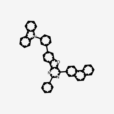 c1ccc(-c2nc(-c3ccc4c(ccc5ccccc54)c3)c3oc4cc(-c5cccc(-n6c7ccccc7c7ccccc76)c5)ccc4c3n2)cc1